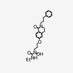 CCNC(=O)N(O)CCCOc1ccc2c(c1)CCN(CCCc1ccccc1)C2=O